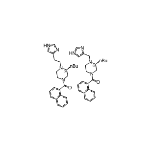 CCCC[C@H]1CN(C(=O)c2cccc3ccccc23)CCN1CCc1c[nH]cn1.CCCC[C@H]1CN(C(=O)c2cccc3ccccc23)CCN1Cc1c[nH]cn1